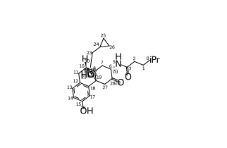 CC(C)CCC(=O)N[C@H]1C[C@@]2(O)[C@H]3Cc4ccc(O)cc4C2(CCN3CC2CC2)CC1=O